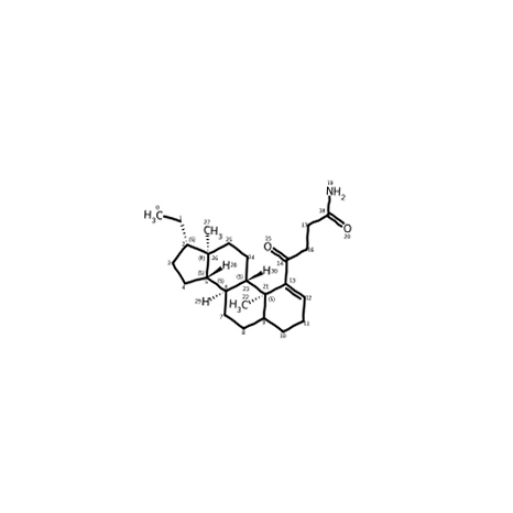 CC[C@H]1CC[C@H]2[C@@H]3CCC4CCC=C(C(=O)CCC(N)=O)[C@]4(C)[C@H]3CC[C@]12C